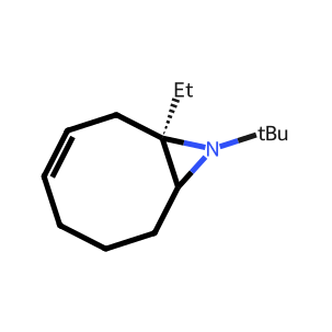 CC[C@@]12C/C=C\CCCC1N2C(C)(C)C